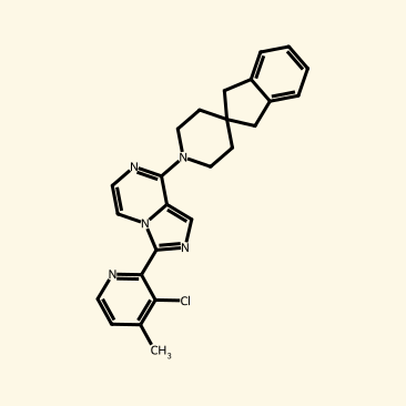 Cc1ccnc(-c2ncc3c(N4CCC5(CC4)Cc4ccccc4C5)nccn23)c1Cl